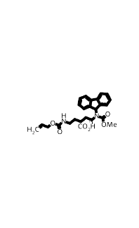 C=CCOC(=O)NCCCC[C@@H](C(=O)O)N(C(=O)OC)C1c2ccccc2-c2ccccc21